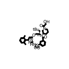 Cc1cccc(C)c1-c1cc2nc(n1)NS(=O)(=O)c1cccc(c1)C(=O)N(C1CCCN(C(=O)CO)C1)[C@H](CC(C)(C)C)CO2